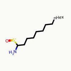 CCCCCCCCCCCCCC(N)[S+]=O